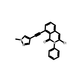 CCc1cc2cccc(C#Cc3cnn(C)c3)c2c(=O)n1-c1ccccc1